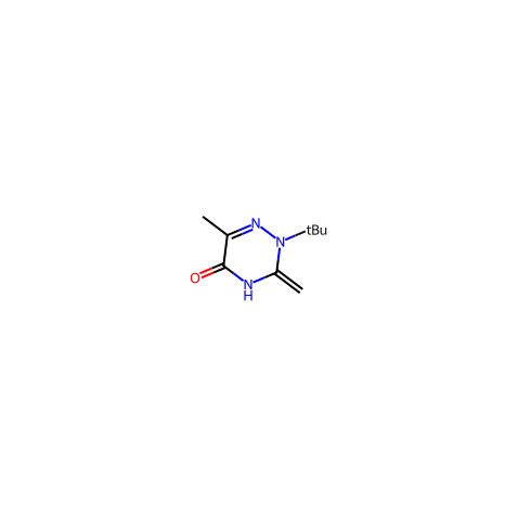 C=C1NC(=O)C(C)=NN1C(C)(C)C